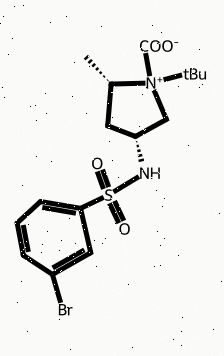 C[C@H]1C[C@@H](NS(=O)(=O)c2cccc(Br)c2)C[N+]1(C(=O)[O-])C(C)(C)C